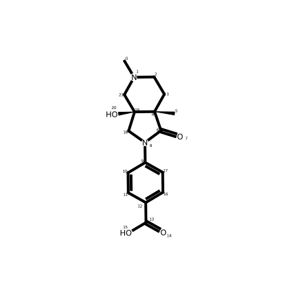 CN1CC[C@]2(C)C(=O)N(c3ccc(C(=O)O)cc3)C[C@]2(O)C1